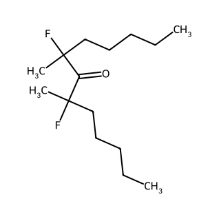 CCCCCC(C)(F)C(=O)C(C)(F)CCCCC